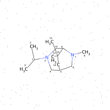 CC(C)N1CC2CN(C)C(C1)C(C)(C)C2